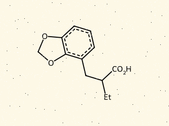 CCC(Cc1cccc2c1OCO2)C(=O)O